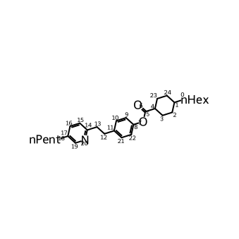 CCCCCCC1CCC(C(=O)Oc2ccc(CCc3ccc(CCCCC)cn3)cc2)CC1